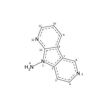 Nn1c2ccncc2c2cccnc21